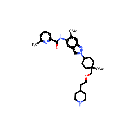 COc1cc2nn(C3CCC(COCCC4CCNCC4)(OC)CC3)cc2cc1NC(=O)c1cccc(C(F)(F)F)n1